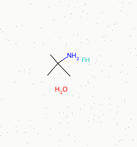 CC(C)(C)N.F.O